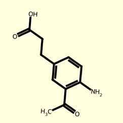 CC(=O)c1cc(CCC(=O)O)ccc1N